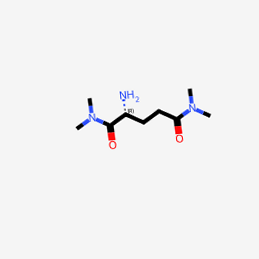 CN(C)C(=O)CC[C@@H](N)C(=O)N(C)C